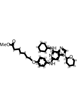 COC(=O)CCCCCCOc1ccc(Nc2cc3c(ncn3C3CCCCO3)c(NC3CCCCC3)n2)cc1